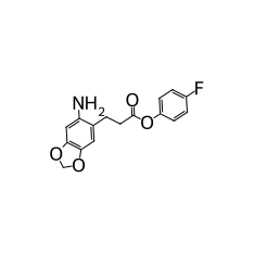 Nc1cc2c(cc1CCC(=O)Oc1ccc(F)cc1)OCO2